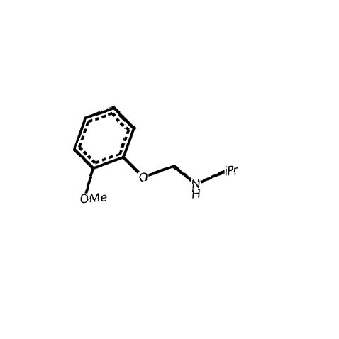 COc1ccccc1OCNC(C)C